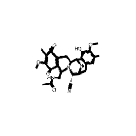 COC1=C(C)C(=O)C2=C(C1=O)C(CNC(C)=O)N1C(C2)C2c3c(cc(C)c(OC)c3O)CC([C@@H]1C#N)N2C